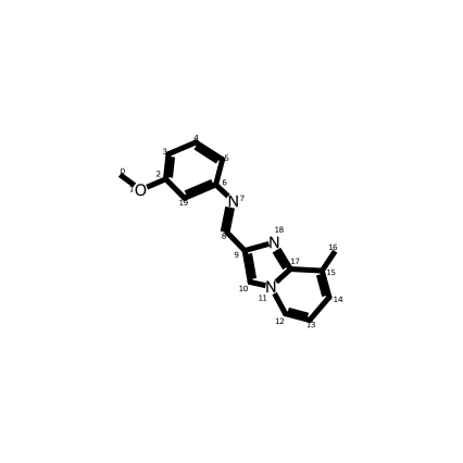 COc1cccc(N=Cc2cn3cccc(C)c3n2)c1